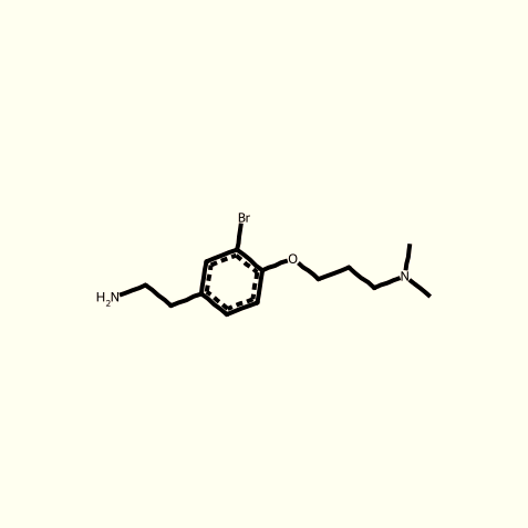 CN(C)CCCOc1ccc(CCN)cc1Br